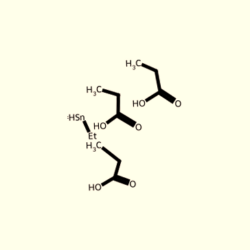 CCC(=O)O.CCC(=O)O.CCC(=O)O.C[CH2][SnH]